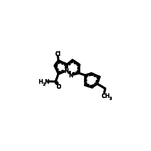 CCc1ccc(-c2ccc3c(Cl)cc(C(N)=O)n3n2)cc1